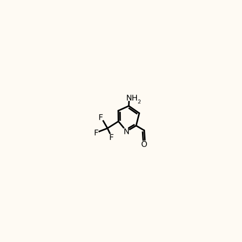 Nc1cc(C=O)nc(C(F)(F)F)c1